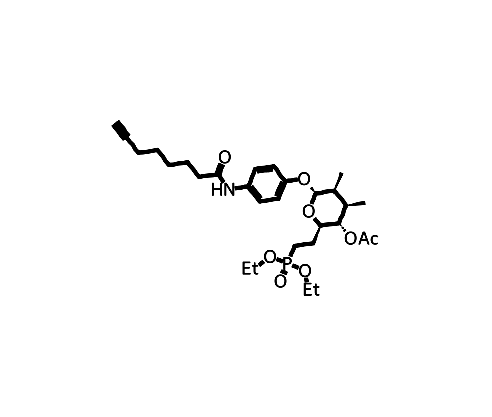 C#CCCCCCC(=O)Nc1ccc(O[C@H]2O[C@H](CCP(=O)(OCC)OCC)[C@@H](OC(C)=O)[C@H](C)[C@@H]2C)cc1